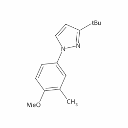 COc1ccc(-n2ccc(C(C)(C)C)n2)cc1C